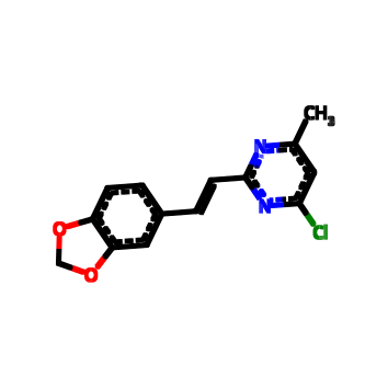 Cc1cc(Cl)nc(/C=C/c2ccc3c(c2)OCO3)n1